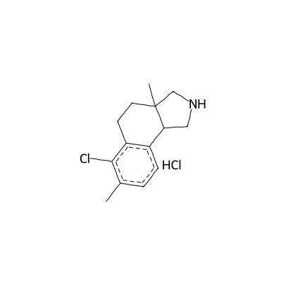 Cc1ccc2c(c1Cl)CCC1(C)CNCC21.Cl